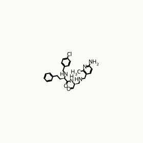 Cc1nc(N)ccc1CNC[C@@H](C=O)NC(=O)[C@@H](CCc1ccccc1)NCc1ccc(Cl)cc1